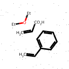 C=CC(=O)O.C=Cc1ccccc1.CCOCC